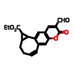 CCOC(=O)C1C2CCC#Cc3cc4oc(=O)c(C=O)cc4cc3C21